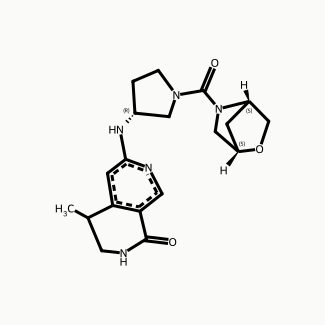 CC1CNC(=O)c2cnc(N[C@@H]3CCN(C(=O)N4C[C@@H]5C[C@H]4CO5)C3)cc21